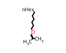 CCCCCCCCCCCCOC=C(C)C